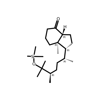 C[C@H](CC[C@@H](C)C(C)(C)O[Si](C)(C)C)[C@H]1CC[C@H]2C(=O)CCC[C@]12C